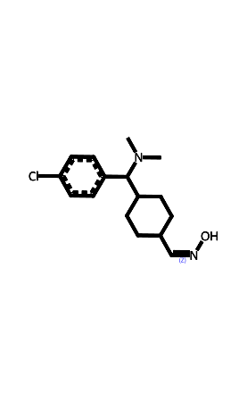 CN(C)C(c1ccc(Cl)cc1)C1CCC(/C=N\O)CC1